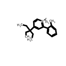 CCC(CC)(CC)c1cc[n+](C)c(-c2ccccc2C)c1